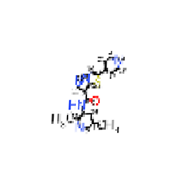 Cc1cnc(C)c(NC(=O)c2cnn3cc(-c4ccncc4)sc23)c1